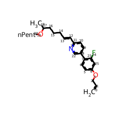 C=CCOc1ccc(-c2ccc(/C=C/CCCC(C)OCCCCC)nc2)c(F)c1